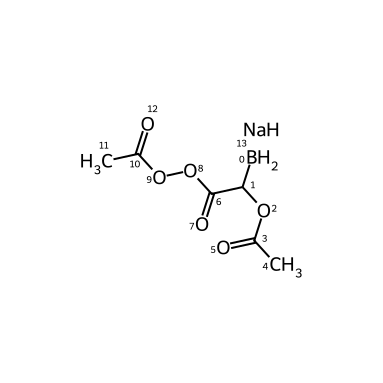 BC(OC(C)=O)C(=O)OOC(C)=O.[NaH]